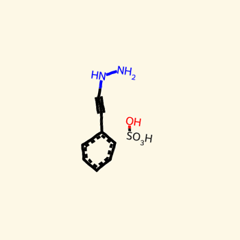 NNC#Cc1ccccc1.O=S(=O)(O)O